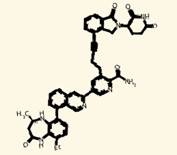 CCc1ccc(-c2cccc3cc(-c4cnc(C(N)=O)c(CCC#Cc5cccc6c5CN(C5CCC(=O)NC5=O)C6=O)c4)ncc23)c2c1NC(=O)C[C@@H](C)N2